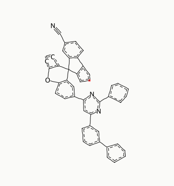 N#Cc1ccc2c(c1)C1(c3ccccc3Oc3ccc(-c4cc(-c5cccc(-c6ccccc6)c5)nc(-c5ccccc5)n4)cc31)c1ccccc1-2